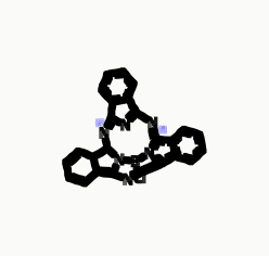 ClB1N2C3=C4C=CC=CC4C2/N=C2N=C(/N=c4/c5ccccc5c(n41)=N3)c1ccccc1\2